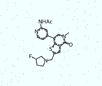 CC(=O)Nc1cc(-c2cn(C)c(=O)c3cc(CN4CC[C@@H](F)C4)sc23)ccn1